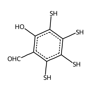 O=Cc1c(O)c(S)c(S)c(S)c1S